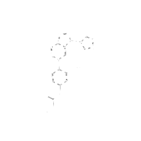 COc1cc(NC(=O)CCl)cc(F)c1-c1cc2c(-c3cnn(C)c3)nn(C(=O)O)c2cn1